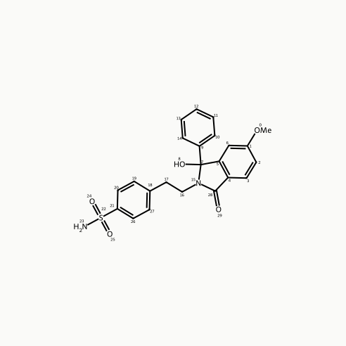 COc1ccc2c(c1)C(O)(c1ccccc1)N(CCc1ccc(S(N)(=O)=O)cc1)C2=O